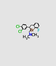 CN(C)CCC(Cc1cccc(F)c1Br)c1ccc(Cl)c(Cl)c1